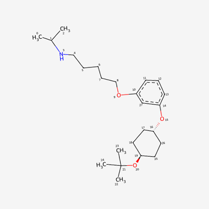 CC(C)NCCCCCOc1cccc(O[C@H]2CC[C@H](OC(C)(C)C)CC2)c1